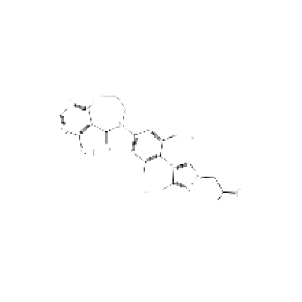 Cc1cc(N2CCOc3ncnc(N)c3C2=O)cc(C)c1-c1cn(CC(F)F)nc1C